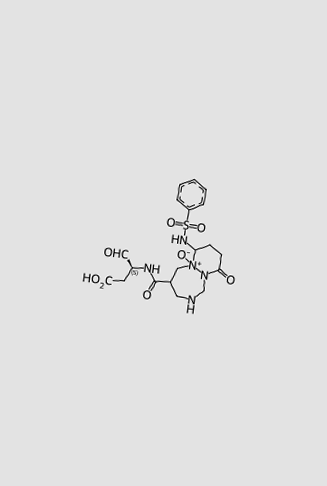 O=C[C@H](CC(=O)O)NC(=O)C1CNCN2C(=O)CCC(NS(=O)(=O)c3ccccc3)[N+]2([O-])C1